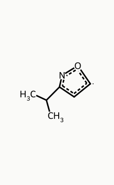 CC(C)c1c[c]on1